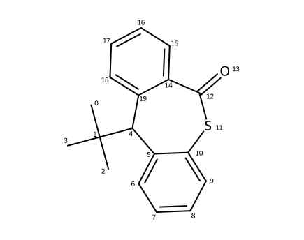 CC(C)(C)C1c2ccccc2SC(=O)c2ccccc21